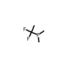 CP(C)C(C)(F)F